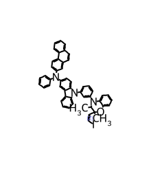 CC1N(c2cccc(-n3c4ccccc4c4cc(N(c5ccccc5)c5ccc6c(ccc7ccccc76)c5)ccc43)c2)c2ccccc2OC1(C)/C=C\I